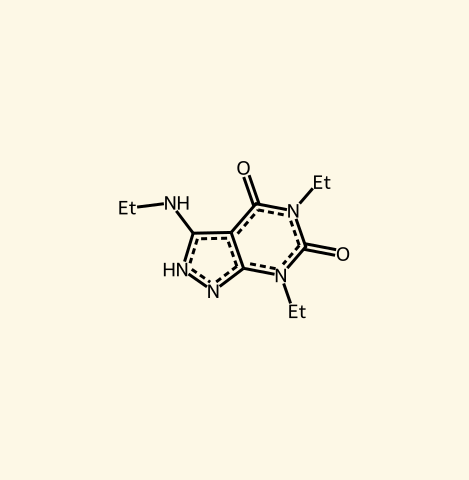 CCNc1[nH]nc2c1c(=O)n(CC)c(=O)n2CC